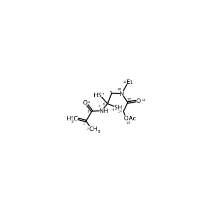 C=C(C)C(=O)NC(S)(S)CN(CC)C(=O)COC(C)=O